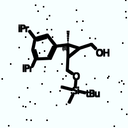 CC(C)c1cc(C(C)C)cc([C@@]2(C)C(CO)C2CO[Si](C)(C)C(C)(C)C)c1